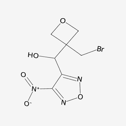 O=[N+]([O-])c1nonc1C(O)C1(CBr)COC1